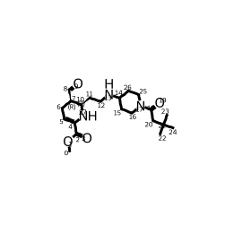 COC(=O)C1=CC[C@@H](C=O)[C@@H](CCNC2CCN(C(=O)CC(C)(C)C)CC2)N1